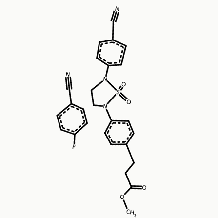 COC(=O)CCc1ccc(N2CCN(c3ccc(C#N)cc3)S2(=O)=O)cc1.N#Cc1ccc(F)cc1